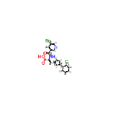 O=C(O)C(=Cc1ccc(-c2ccccc2Cl)s1)NC(=O)c1cncc(Br)c1